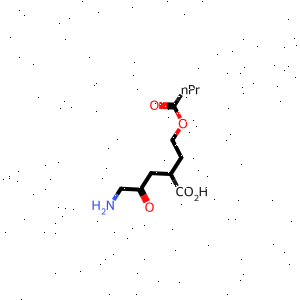 CCCC(=O)OCCC(CC(=O)CN)C(=O)O